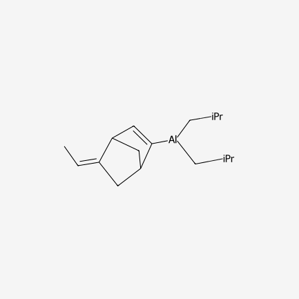 CC=C1CC2CC1C=[C]2[Al]([CH2]C(C)C)[CH2]C(C)C